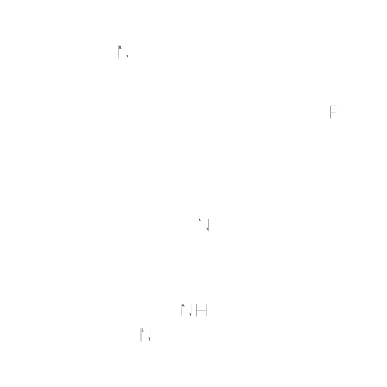 Cc1cc(-c2ncccc2-c2cnc3[nH]ncc3c2)ccc1F